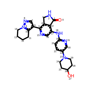 O=C1NCc2c(-c3cnn4c3CCCC4)ncc(Nc3ccc(N4CCC(O)CC4)cn3)c21